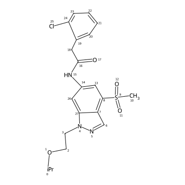 CC(C)OCCn1ncc2c(S(C)(=O)=O)cc(NC(=O)Cc3ccccc3Cl)cc21